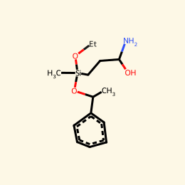 CCO[Si](C)(CCC(N)O)OC(C)c1ccccc1